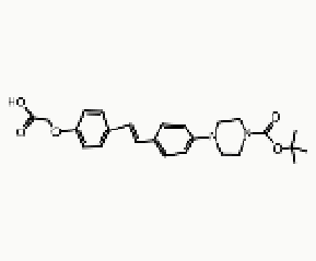 CC(C)(C)OC(=O)N1CCN(c2ccc(C=Cc3ccc(OCC(=O)O)cc3)cc2)CC1